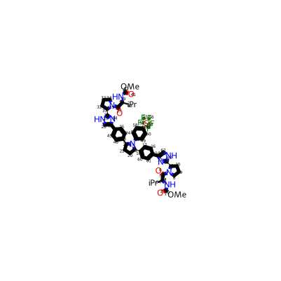 COC(=O)N[C@H](C(=O)N1CCC[C@H]1c1nc(-c2ccc([C@@H]3CC[C@@H](c4ccc(-c5c[nH]c([C@@H]6CCCN6C(=O)[C@@H](NC(=O)OC)C(C)C)n5)cc4)N3c3ccc(S(F)(F)(F)(F)F)cc3)cc2)c[nH]1)C(C)C